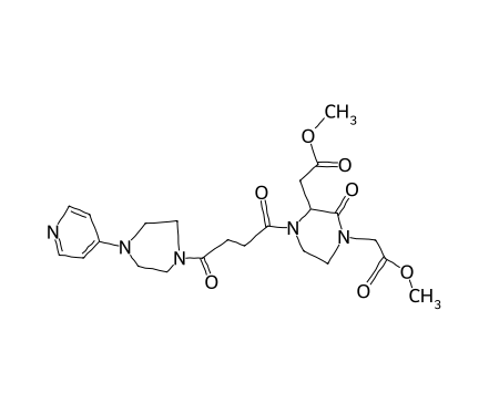 COC(=O)CC1C(=O)N(CC(=O)OC)CCN1C(=O)CCC(=O)N1CCN(c2ccncc2)CC1